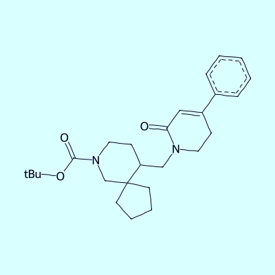 CC(C)(C)OC(=O)N1CCC(CN2CCC(c3ccccc3)=CC2=O)C2(CCCC2)C1